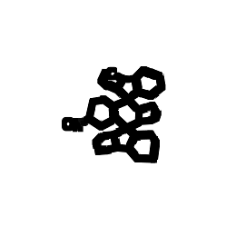 O=NC1CCC2=C(C1)C1(C3=CC=CCC3C3C=CCCC31)C1CC=CCC1C21C2=CC=CCC2C2=C1CCC=C2